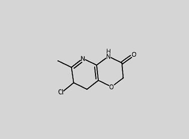 CC1=NC2=C(CC1Cl)OCC(=O)N2